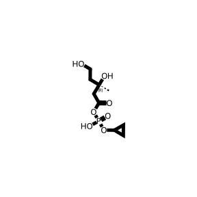 C[C@@](O)(CCO)CC(=O)OP(=O)(O)OC1CC1